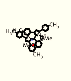 COc1cccc(OC)c1/C(=C1/N=C(c2ccc(C)cc2)C=C1c1ccc(C)cc1)c1c(-c2ccc(C)cc2)cc(-c2ccc(C)cc2)n1B(F)F